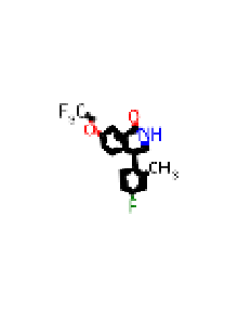 Cc1cc(F)ccc1-c1c[nH]c(=O)c2cc(OCC(F)(F)F)ccc12